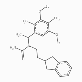 CCOc1cc(C(C)N(CCC2Cc3ccccc3C2)C(N)=O)c(C)c(OCC)c1C